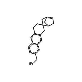 CC(C)Cc1ccc2cc3c(cc2c1)CC1(CC3)CC2=CCC1C2